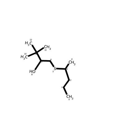 CCCC(C)SCC(O)C(C)(C)C